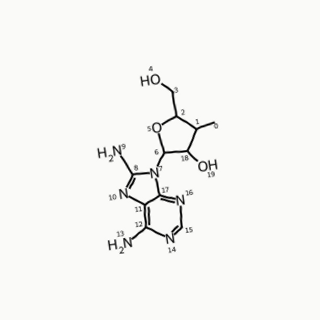 CC1C(CO)OC(n2c(N)nc3c(N)ncnc32)C1O